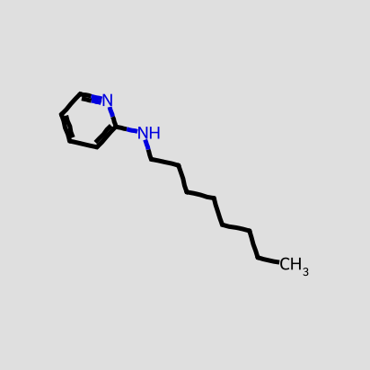 CCCCCCCCNc1ccccn1